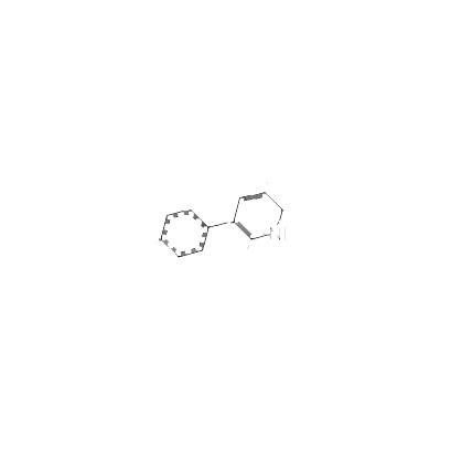 [C]1=CCNC=C1c1ccccc1